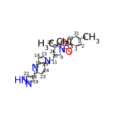 Cc1ccc(S(=O)(=O)N2CC(Cn3ccc4nc(-c5cn[nH]c5)ccc43)CC2(C)C)cc1